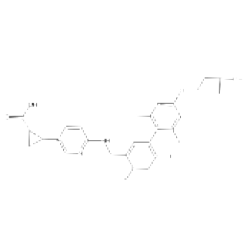 Cc1cc(OCCC(C)(C)O)cc(C)c1-c1cc(CNc2ccc([C@H]3C[C@@H]3C(=O)O)cn2)c(F)cc1F